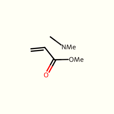 C=CC(=O)OC.CNC